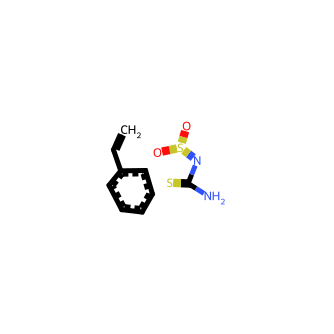 C=Cc1ccccc1.NC(=S)N=S(=O)=O